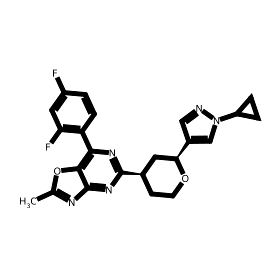 Cc1nc2nc([C@@H]3CCO[C@H](c4cnn(C5CC5)c4)C3)nc(-c3ccc(F)cc3F)c2o1